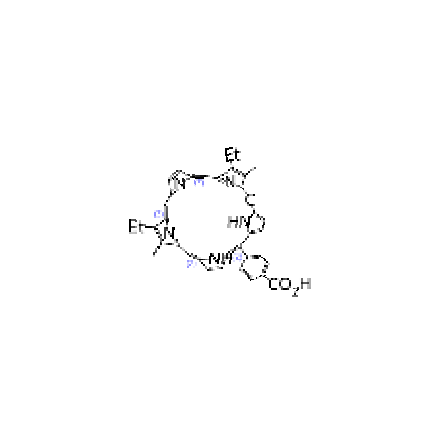 CCC1=C(C)C2Cc3ccc([nH]3)/C(c3ccc(C(=O)O)cc3)=c3/cc/c([nH]3)=C/C3=NC(=C\C4=NC(=C\C1=N2)/C=C4)/C(CC)=C3C